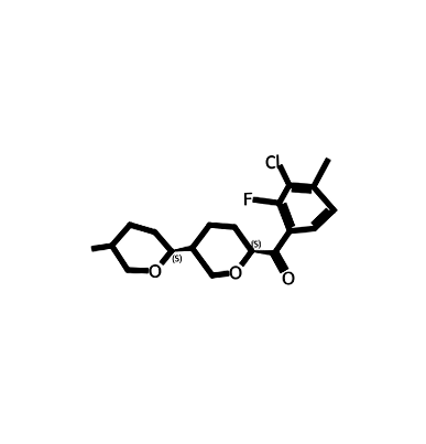 Cc1ccc(C(=O)[C@@H]2CCC([C@@H]3CCC(C)CO3)CO2)c(F)c1Cl